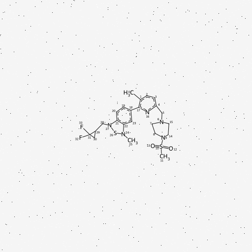 Cc1ccc(CN2CCN(S(C)(=O)=O)CC2)nc1-c1ccc2c(c1)N(C)SN2CC1CC1(F)F